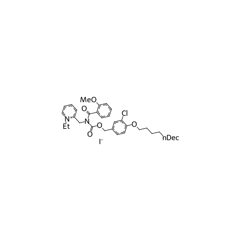 CCCCCCCCCCCCCCOc1ccc(COC(=O)N(Cc2cccc[n+]2CC)C(=O)c2ccccc2OC)cc1Cl.[I-]